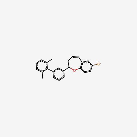 Cc1cccc(C)c1-c1cccc(C2CC=Cc3cc(Br)ccc3O2)c1